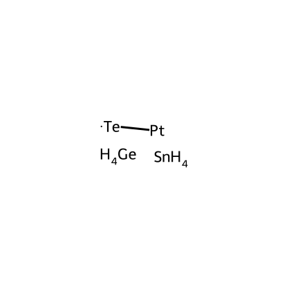 [GeH4].[SnH4].[Te][Pt]